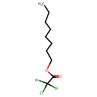 CCCCCCCCOC(=O)C(Cl)(Br)Br